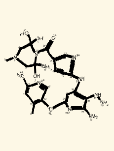 BC1(O)CN(C)CC(O)(O)N1C(=O)c1ccc(Nc2cc(Oc3cnc(C#N)cc3C)nc(NC)c2NN)nc1